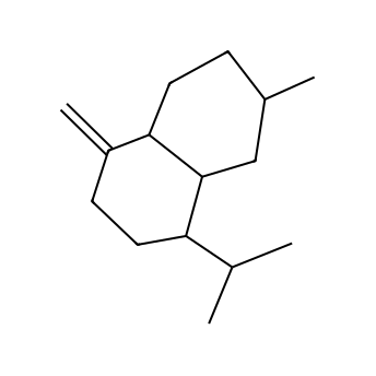 C=C1CCC(C(C)C)C2CC(C)CCC12